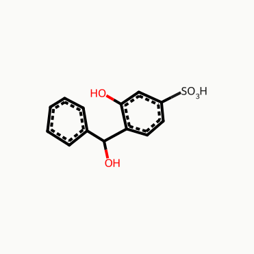 O=S(=O)(O)c1ccc(C(O)c2ccccc2)c(O)c1